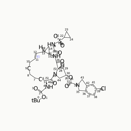 CC(C)(C)OC(=O)N[C@H]1CCCCC/C=C/[C@@H]2C[C@@]2(C(=O)NS(=O)(=O)C2CC2)NC(=O)[C@@H]2C[C@@H](OC(=O)N3Cc4ccc(Cl)cc4C3)CN2C1=O